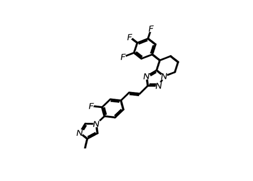 Cc1cn(-c2ccc(C=Cc3nc4n(n3)CCCC4c3cc(F)c(F)c(F)c3)cc2F)cn1